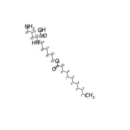 CCCCCCCCCCCC(=O)OCCCCCCNC(CCCN)C(=O)O